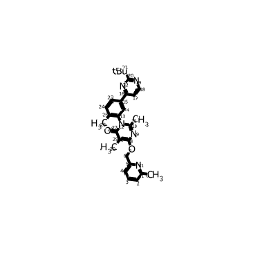 Cc1cccc(COc2nc(C)n(-c3cc(-c4ccnc(C(C)(C)C)n4)ccc3C)c(=O)c2C)n1